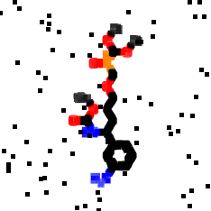 CCOC(OCC)[PH](=O)COCCCC(NC(=O)OC(C)(C)C)c1cccc(N)c1